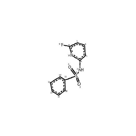 O=S(=O)(Nc1cccc(F)n1)c1ccccc1